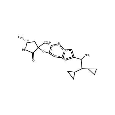 NC(c1cn2ncc(CC3(C(=O)O)C[C@@H](C(F)(F)F)NC3=O)cc2n1)C(C1CC1)C1CC1